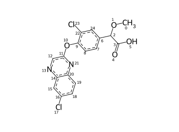 COC(C(=O)O)c1ccc(Oc2cnc3cc(Cl)ccc3n2)c(Cl)c1